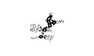 COc1ccc(-c2c3ccc(=O)cc-3oc3cc(OCc4cc(N(CC(=O)O)CC(=O)O)c(OCCOc5cc(OC)ccc5N(CC(=O)O)CC(=O)O)cc4[N+](=O)[O-])ccc23)c(C)c1